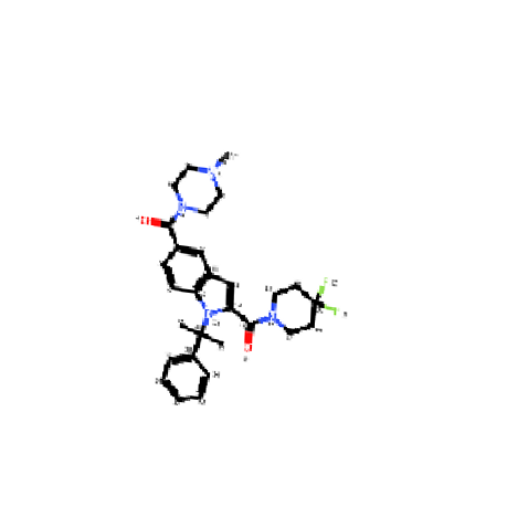 CC(C)N1CCN(C(=O)c2ccc3c(c2)cc(C(=O)N2CCC(F)(F)CC2)n3C(C)(C)c2ccccc2)CC1